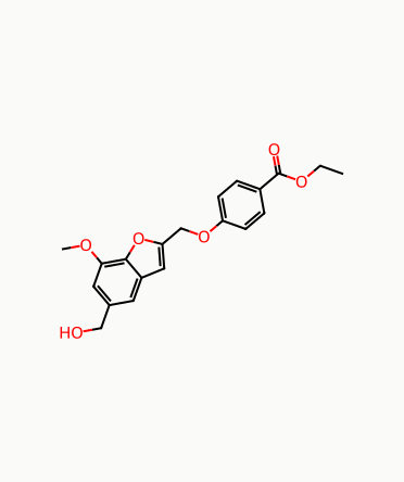 CCOC(=O)c1ccc(OCc2cc3cc(CO)cc(OC)c3o2)cc1